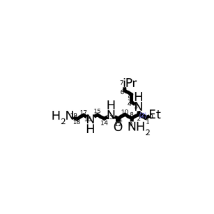 CC/C=C(\NCCCC(C)C)C(N)CC(=O)NCCNCCN